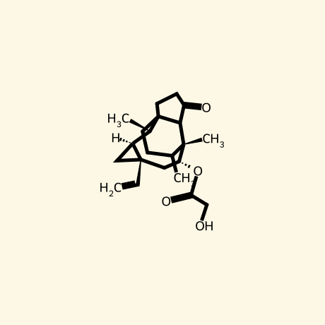 C=C[C@@]12C[C@H]1[C@H](C)C13CCC(=O)C1[C@@](C)(C(C)CC3)[C@H](OC(=O)CO)C2